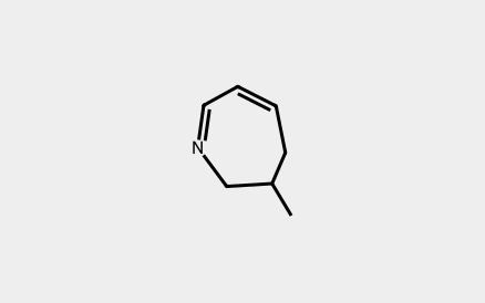 CC1CC=CC=NC1